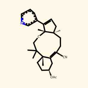 CC(=O)O[C@H]1CC[C@@]2(C)/C(=C(/C#N)CC[C@]3(C)CC=C(c4cccnc4)[C@@]3(C)CCC2(C)C)C1